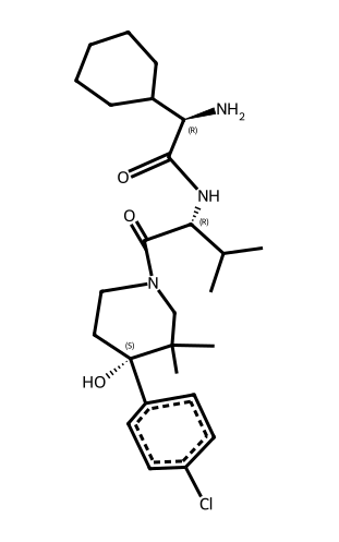 CC(C)[C@@H](NC(=O)[C@H](N)C1CCCCC1)C(=O)N1CC[C@](O)(c2ccc(Cl)cc2)C(C)(C)C1